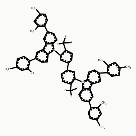 Cc1ccc(-c2ccc3c(c2)c2cc(-c4ccc(C)cc4C)ccc2n3-c2cc(-c3ccc(C(F)(F)F)c(-n4c5ccc(-c6ccc(C)cc6C)cc5c5cc(-c6ccc(C)cc6C)ccc54)c3)ccc2C(F)(F)F)c(C)c1